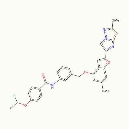 COc1cc(OCc2cccc(NC(=O)c3ccc(OC(F)F)cc3)c2)c2cc(-c3cn4nc(OC)sc4n3)oc2c1